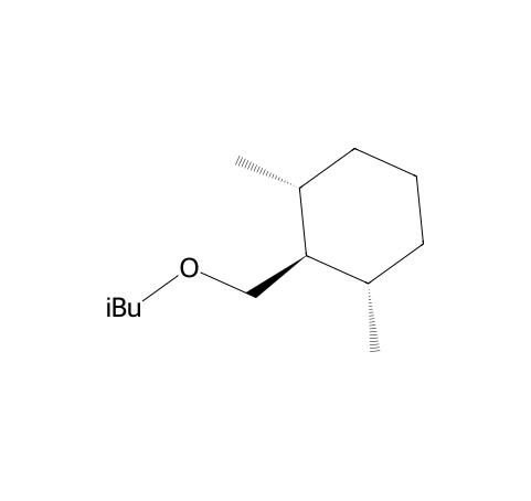 CCC(C)OC[C@H]1[C@H](C)CCC[C@@H]1C